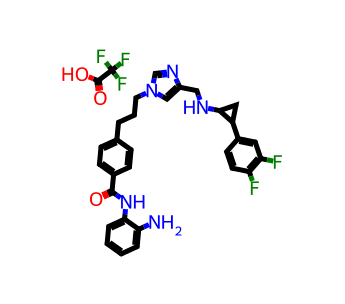 Nc1ccccc1NC(=O)c1ccc(CCCn2cnc(CNC3CC3c3ccc(F)c(F)c3)c2)cc1.O=C(O)C(F)(F)F